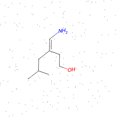 CC(C)C/C(=C/N)CCO